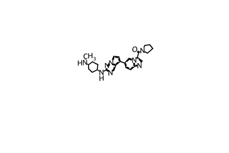 CN[C@H]1CC[C@@H](Nc2ncc3c(-c4ccc5ncc(C(=O)N6CCCC6)n5c4)ccn3n2)CC1